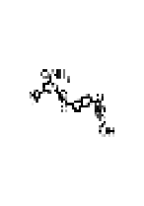 Cn1cc(C2=CN(C3CCN(C(=O)c4ccc5cc(C(=O)N6CCN(CCO)CC6)ccc5c4)C3)CC(C(N)=O)=C2)cn1